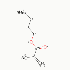 C=C(C#N)C(=O)OCCCCCCCCC